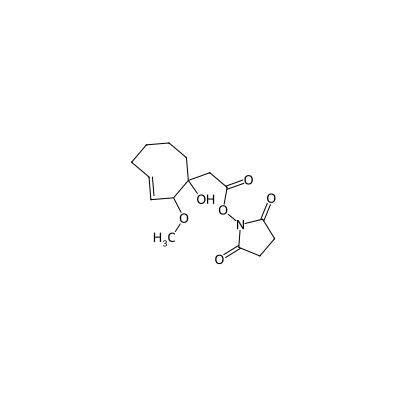 COC1/C=C/CCCCC1(O)CC(=O)ON1C(=O)CCC1=O